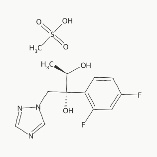 CS(=O)(=O)O.C[C@@H](O)[C@](O)(Cn1cncn1)c1ccc(F)cc1F